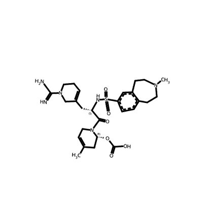 CC1=CCN(C(=O)[C@H](CC2=CCCN(C(=N)N)C2)NS(=O)(=O)c2ccc3c(c2)CCN(C)CC3)[C@H](OC(=O)O)C1